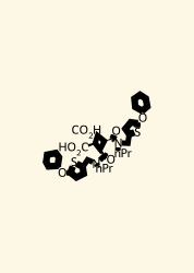 CCCN(Cc1ccc(Oc2ccccc2)s1)C(=O)[C@H]1[C@@H](C(=O)O)[C@H](C(=O)O)[C@@H]1C(=O)N(CCC)Cc1ccc(Oc2ccccc2)s1